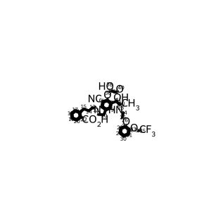 C[C@H](Cc1cc(C#N)c2c(c1)CCN2CCCc1ccccc1C(=O)O)NCCOc1ccccc1OCC(F)(F)F.O=C(O)C(=O)O